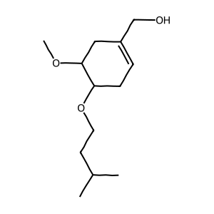 COC1CC(CO)=CCC1OCCC(C)C